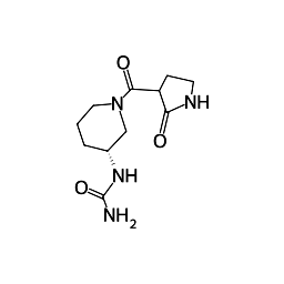 NC(=O)N[C@@H]1CCCN(C(=O)C2CCNC2=O)C1